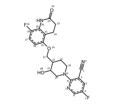 N#Cc1cc(F)cnc1N1CCC(COc2ccc(F)c3c2CCC(=O)N3)C(O)C1